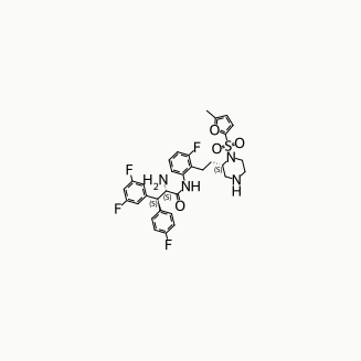 Cc1ccc(S(=O)(=O)N2CCNC[C@@H]2CCc2c(F)cccc2NC(=O)[C@@H](N)[C@@H](c2ccc(F)cc2)c2cc(F)cc(F)c2)o1